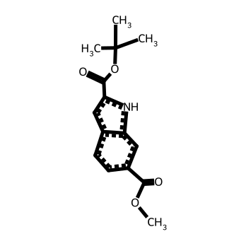 COC(=O)c1ccc2cc(C(=O)OC(C)(C)C)[nH]c2c1